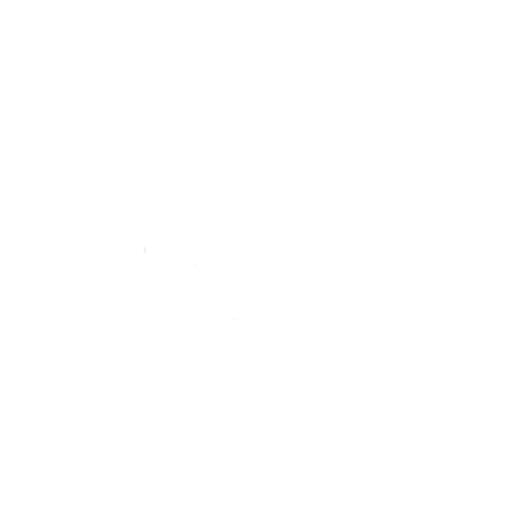 CCCOC(C)C(=O)c1c(F)c(F)cc(F)c1F